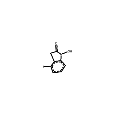 O=C1Cc2c(I)cccc2N1O